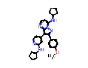 COc1ccc(-c2nn3c(NC4CCCC4)ccnc3c2-c2ccnc(NC3CCCC3)c2)cc1